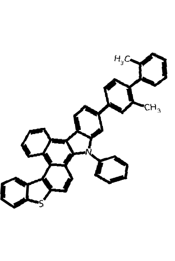 Cc1ccccc1-c1ccc(-c2ccc3c4c5ccccc5c5c(ccc6sc7ccccc7c65)c4n(-c4ccccc4)c3c2)cc1C